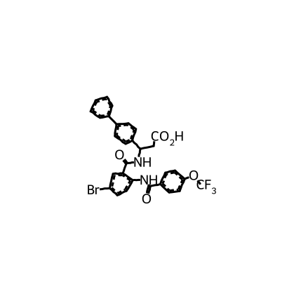 O=C(O)CC(NC(=O)c1cc(Br)ccc1NC(=O)c1ccc(OC(F)(F)F)cc1)c1ccc(-c2ccccc2)cc1